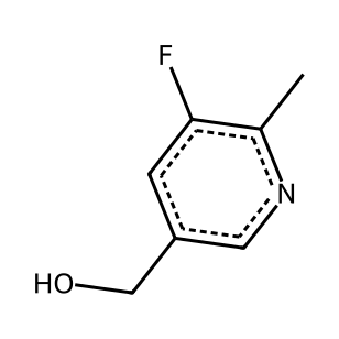 Cc1ncc(CO)cc1F